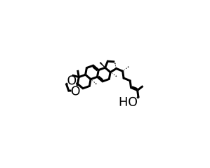 C/C(=C\CC[C@@H](C)[C@H]1CC[C@@]2(C)C3=CCC4C(C)(C)C5(CC[C@]4(C)C3=CC[C@]12C)OCCO5)CO